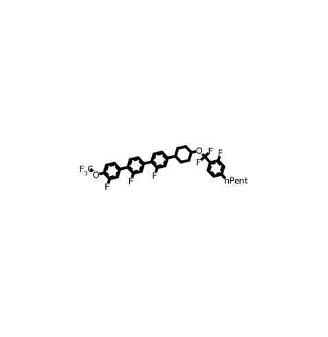 CCCCCc1ccc(C(F)(F)OC2CCC(c3ccc(-c4ccc(-c5ccc(OC(F)(F)F)c(F)c5)c(F)c4)c(F)c3)CC2)c(F)c1